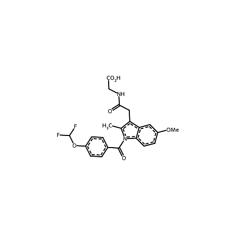 COc1ccc2c(c1)c(CC(=O)NCC(=O)O)c(C)n2C(=O)c1ccc(OC(F)F)cc1